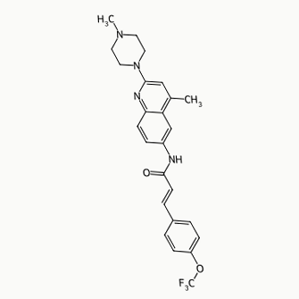 Cc1cc(N2CCN(C)CC2)nc2ccc(NC(=O)C=Cc3ccc(OC(F)(F)F)cc3)cc12